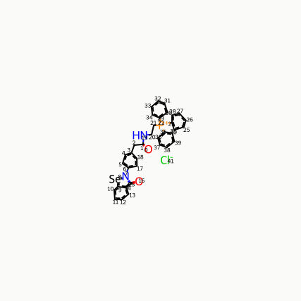 O=C(Cc1ccc(-n2[se]c3ccccc3c2=O)cc1)NCC[P+](c1ccccc1)(c1ccccc1)c1ccccc1.[Cl-]